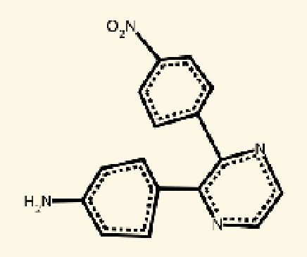 Nc1ccc(-c2nccnc2-c2ccc([N+](=O)[O-])cc2)cc1